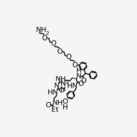 CCC(=O)NCCNC(=O)/N=C(/N)NCCC[C@@H](NC(=O)C(c1ccccc1)c1cccc(OCCOCCOCCOCCOCCN)c1)C(=O)NCc1ccc(O)cc1